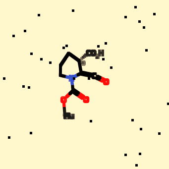 CC(C)(C)OC(=O)N1CCC[C@H](C(=O)O)C1=C=O